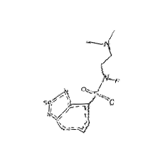 CN(C)CCN(F)S(=O)(=O)c1cccc2n[se]nc12